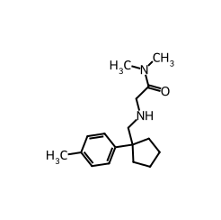 Cc1ccc(C2(CNCC(=O)N(C)C)CCCC2)cc1